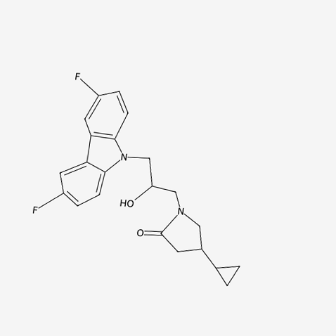 O=C1CC(C2CC2)CN1CC(O)Cn1c2ccc(F)cc2c2cc(F)ccc21